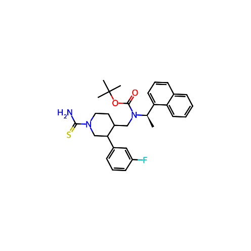 C[C@H](c1cccc2ccccc12)N(CC1CCN(C(N)=S)CC1c1cccc(F)c1)C(=O)OC(C)(C)C